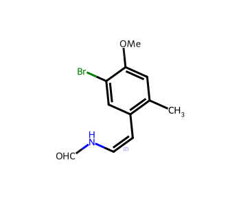 COc1cc(C)c(/C=C\NC=O)cc1Br